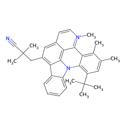 Cc1cc(C(C)(C)C)c2c(c1C)c1c3c(cc[n+]1C)cc(CC(C)(C)C#N)c1c4ccccc4n2c13